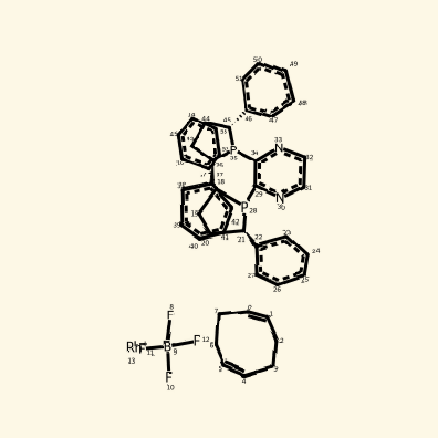 C1=C\CC/C=C\CC/1.F[B-](F)(F)F.[Rh+].c1ccc([C@H]2CC[C@H](c3ccccc3)P2c2nccnc2P2[C@@H](c3ccccc3)CC[C@@H]2c2ccccc2)cc1